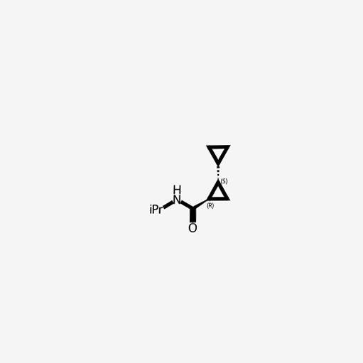 CC(C)NC(=O)[C@@H]1C[C@H]1C1CC1